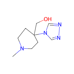 CN1CCC(CO)(n2cnnc2)CC1